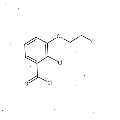 O=C(Cl)c1cccc(OCCCl)c1Cl